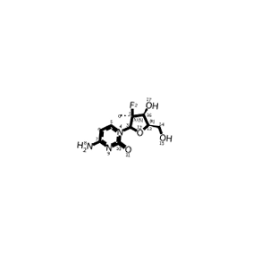 C[C@@]1(F)C(n2ccc(N)nc2=O)O[C@H](CO)[C@@H]1O